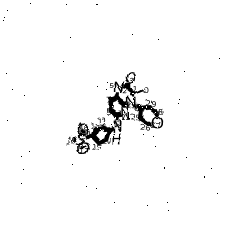 C[C@@H]1C(=O)N(C)c2ccc(Nc3ccc(S(C)(=O)=O)cc3)nc2N1C1CCOCC1